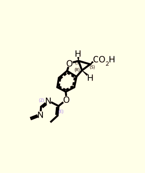 C=N/C=N\C(=C/C)Oc1ccc2c(c1)[C@@H]1[C@H](O2)[C@H]1C(=O)O